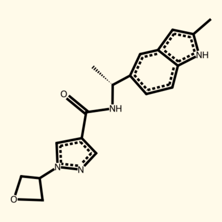 Cc1cc2cc([C@@H](C)NC(=O)c3cnn(C4COC4)c3)ccc2[nH]1